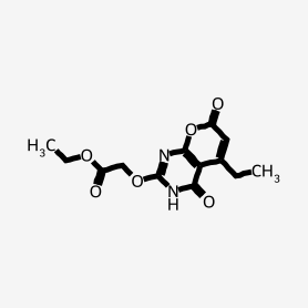 CCOC(=O)COc1nc2oc(=O)cc(CC)c2c(=O)[nH]1